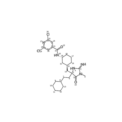 CN1C(=N)NC(CCC2CCCCC2)(C[C@@H]2CCC[C@@H](NC(=O)c3cc(Cl)nc(Cl)c3)C2)C1=O